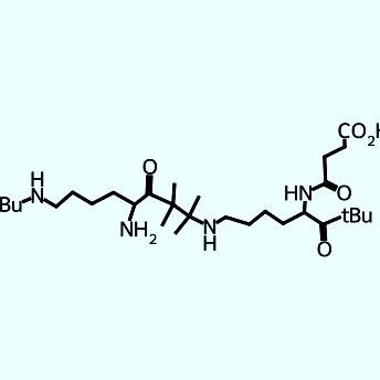 CC(C)(C)NCCCCC(N)C(=O)C(C)(C)C(C)(C)NCCCCC(NC(=O)CCC(=O)O)C(=O)C(C)(C)C